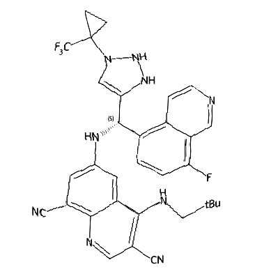 CC(C)(C)CNc1c(C#N)cnc2c(C#N)cc(N[C@H](C3=CN(C4(C(F)(F)F)CC4)NN3)c3ccc(F)c4cnccc34)cc12